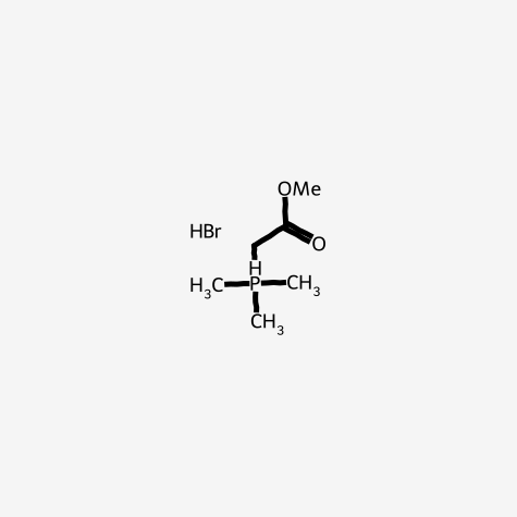 Br.COC(=O)C[PH](C)(C)C